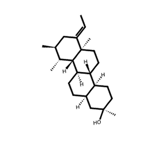 C/C=C1\C[C@H](C)[C@@H](C)[C@H]2[C@@H]3CC[C@@H]4C[C@](C)(O)CC[C@@H]4[C@H]3CC[C@]12C